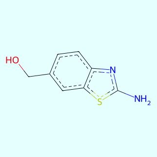 Nc1nc2ccc(CO)cc2s1